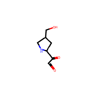 O=CC(=O)C1CC(CO)CN1